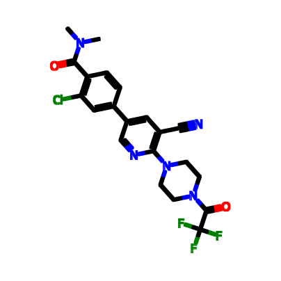 CN(C)C(=O)c1ccc(-c2cnc(N3CCN(C(=O)C(F)(F)F)CC3)c(C#N)c2)cc1Cl